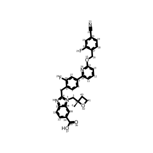 C[C@@]1(Cn2c(Cc3ccc(-c4cccc(OCc5ccc(C#N)cc5F)n4)cc3F)nc3ccc(C(=O)O)cc32)CCO1